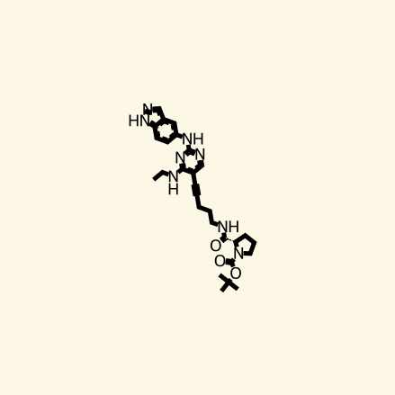 CCNc1nc(Nc2ccc3[nH]ncc3c2)ncc1C#CCCCNC(=O)[C@@H]1CCCN1C(=O)OC(C)(C)C